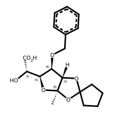 C[C@]12O[C@@H]([C@H](O)C(=O)O)[C@@H](OCc3ccccc3)[C@@H]1OC1(CCCC1)O2